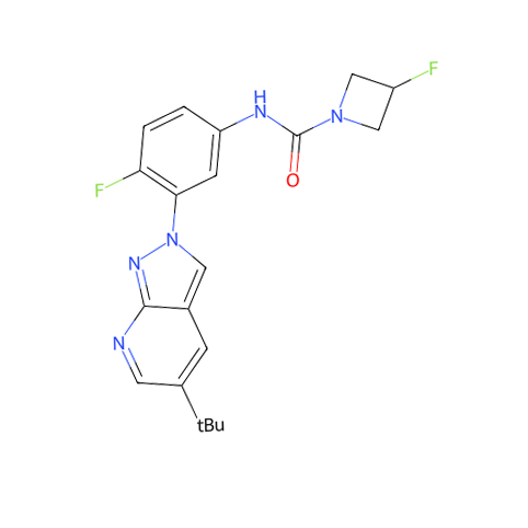 CC(C)(C)c1cnc2nn(-c3cc(NC(=O)N4CC(F)C4)ccc3F)cc2c1